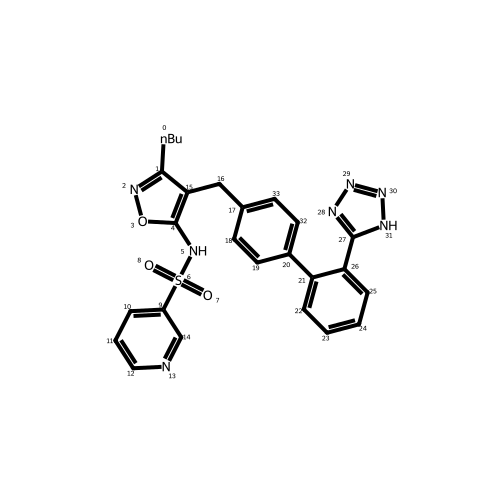 CCCCc1noc(NS(=O)(=O)c2cccnc2)c1Cc1ccc(-c2ccccc2-c2nnn[nH]2)cc1